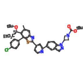 CCOC(=O)[C@@H](OC(C)(C)C)c1c(C)cc2nc(-c3ccnc(-c4ccc5c(cnn5C5CN(C(=O)OC(C)(C)C)C5)c4)c3)sc2c1-c1ccc(Cl)cc1